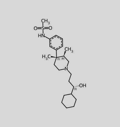 C[C@H]1CN(CC[C@H](O)C2CCCCC2)CC[C@]1(C)c1cccc(NS(C)(=O)=O)c1